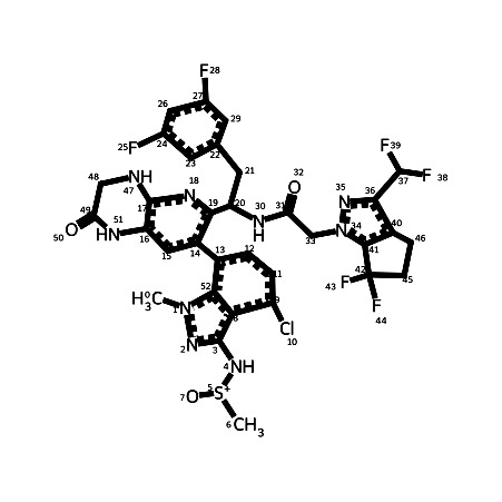 Cn1nc(N[S+](C)[O-])c2c(Cl)ccc(-c3cc4c(nc3C(Cc3cc(F)cc(F)c3)NC(=O)Cn3nc(C(F)F)c5c3C(F)(F)CC5)NCC(=O)N4)c21